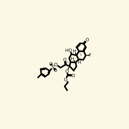 CCCOC(=O)O[C@]1(C(=O)COS(=O)(=O)c2ccc(C)cc2)CC[C@H]2[C@@H]3C[C@H](F)C4=CC(=O)C=C[C@]4(C)[C@H]3C(O)C[C@@]21C